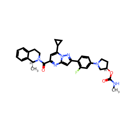 CNC(=O)O[C@@H]1CCN(c2ccc(-c3cc4nc(C(=O)N5CCc6ccccc6[C@H]5C)cc(C5CC5)n4n3)c(F)c2)C1